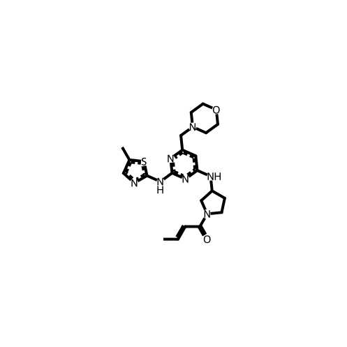 CC=CC(=O)N1CCC(Nc2cc(CN3CCOCC3)nc(Nc3ncc(C)s3)n2)C1